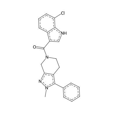 Cn1nc2c(c1-c1ccccc1)CCN(C(=O)c1c[nH]c3c(Cl)cccc13)C2